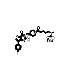 CN(CCCCC(=O)N1CCC(O)(Cn2cnc3c(-c4ccc(F)cc4)csc3c2=O)CC1)C(=O)OC(C)(C)C